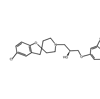 O[C@H](COc1cccc(F)c1)CN1CCC2(CC1)Cc1cc(Cl)ccc1O2